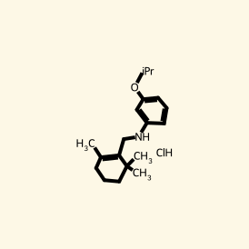 CC1=C(CNc2cccc(OC(C)C)c2)C(C)(C)CCC1.Cl